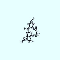 CCn1cc(Nc2nc(N[C@@H](C)C3CC3)c3ccn(SI)c3n2)cn1